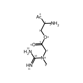 CC(=O)C(N)COC(=O)CN(C)C(=N)N